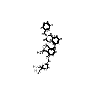 CC1(C)OC[C@H](COc2ccc(F)c3c2B(O)O[C@@H]3CCN(Cc2ccccc2)Cc2ccccc2)O1